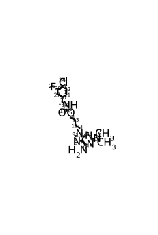 CN(C)c1nc(N)c2ncn(CCCCOC(=O)NCc3ccc(Cl)c(F)c3)c2n1